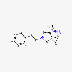 C[C@@]1(N)CN(CCc2ccccc2)CC12CC2